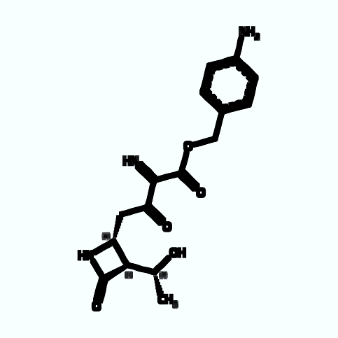 C[C@@H](O)[C@H]1C(=O)N[C@@H]1CC(=O)C(=N)C(=O)OCc1ccc(N)cc1